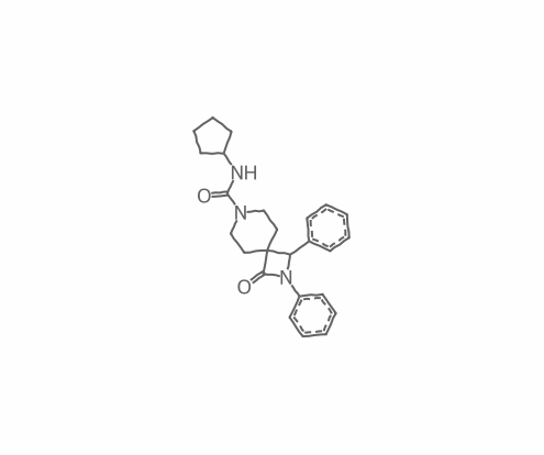 O=C(NC1CCCC1)N1CCC2(CC1)C(=O)N(c1ccccc1)C2c1ccccc1